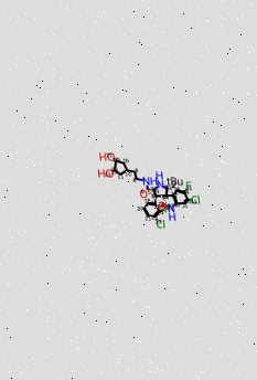 CC(C)(C)C[C@H]1N[C@@H](C(=O)NCCC2C[C@@H](O)[C@@H](O)C2)[C@H](c2cccc(Cl)c2F)[C@@]12C(=O)Nc1cc(Cl)c(F)cc12